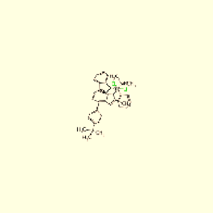 CC1=Cc2c(-c3ccc(C(C)(C)C)cc3)cccc2[CH]1[Ti]([Cl])([Cl])([c]1ccccc1)([CH]1C=Cc2ccccc21)[SiH](C)C